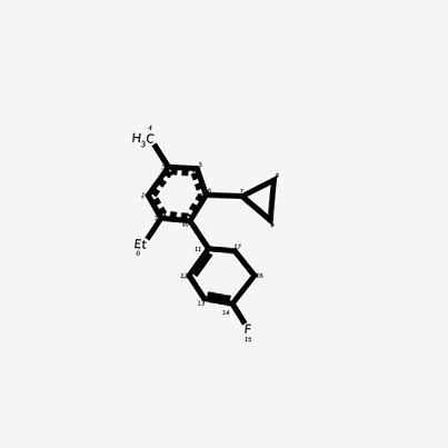 CCc1cc(C)cc(C2CC2)c1C1=CC=C(F)CC1